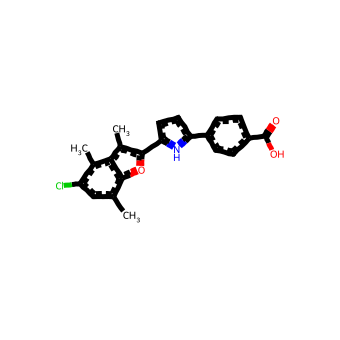 Cc1cc(Cl)c(C)c2c(C)c(-c3ccc(-c4ccc(C(=O)O)cc4)[nH]3)oc12